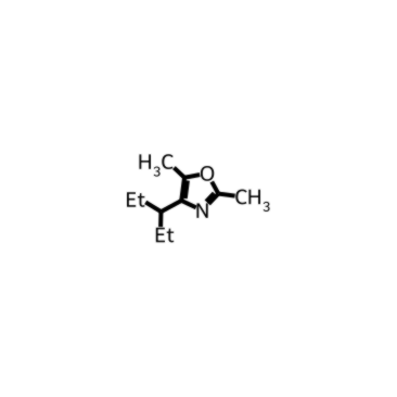 CCC(CC)c1nc(C)oc1C